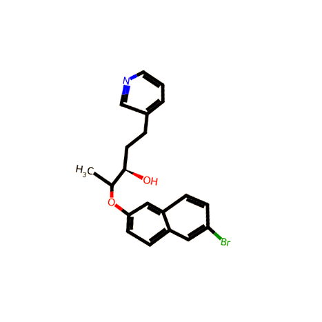 CC(Oc1ccc2cc(Br)ccc2c1)[C@H](O)CCc1cccnc1